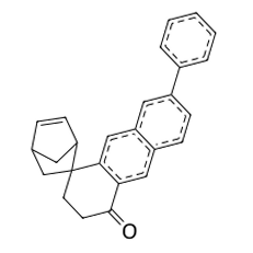 O=C1CCC2(CC3C=CC2C3)c2cc3cc(-c4ccccc4)ccc3cc21